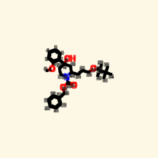 COc1ccccc1C1(O)CCN(C(=O)OCc2ccccc2)C(CCCO[Si](C)(C)C(C)(C)C)C1